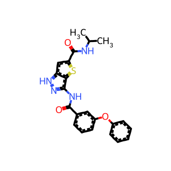 CC(C)NC(=O)c1cc2[nH]nc(NC(=O)c3cccc(Oc4ccccc4)c3)c2s1